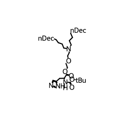 CCCCCCCCCCCCCCN(CCCCCCCCCCCCCC)CCOCCOC(=O)C(Cc1cnc[nH]1)NC(=O)OC(C)(C)C